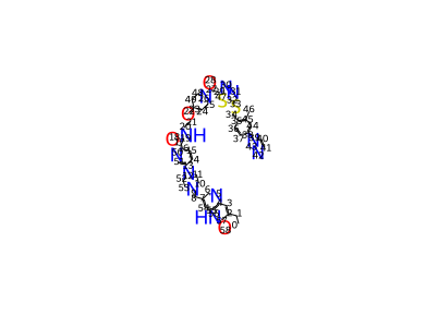 CCc1cc2ncc(CN3CCN(c4ccc(C(=O)NCCOC5CCN(C(=O)c6nnc(SCc7ccc(-n8ccnc8)cc7C)s6)CC5)nc4)CC3)cc2[nH]c1=O